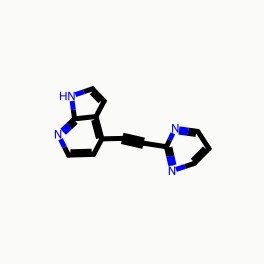 C(#Cc1ccnc2[nH]ccc12)c1ncccn1